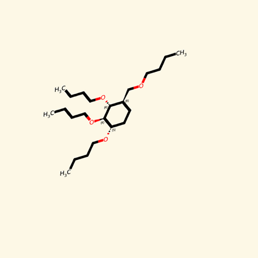 CCCCOC[C@H]1CC[C@H](OCCCC)[C@@H](OCCCC)[C@@H]1OCCCC